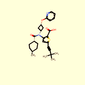 CC(C)(C)C#Cc1cc(N(C(=O)[C@H]2CC[C@H](C)CC2)[C@H]2C[C@@H](Oc3ccccn3)C2)c(C(=O)O)s1